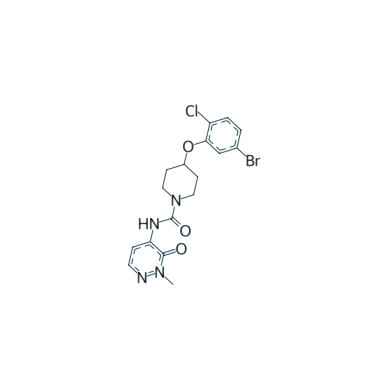 Cn1nccc(NC(=O)N2CCC(Oc3cc(Br)ccc3Cl)CC2)c1=O